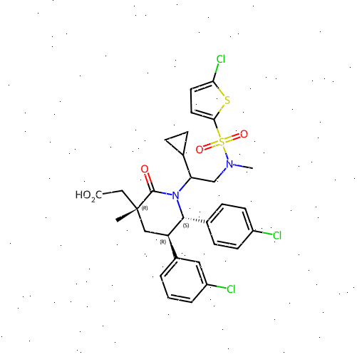 CN(CC(C1CC1)N1C(=O)[C@@](C)(CC(=O)O)C[C@H](c2cccc(Cl)c2)[C@H]1c1ccc(Cl)cc1)S(=O)(=O)c1ccc(Cl)s1